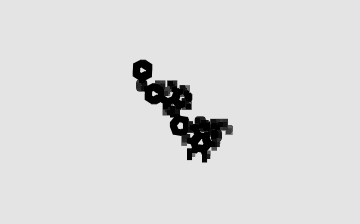 Nc1ncnc2c1c(-c1ccc(Oc3ccccc3)cc1)nn2C1CCCN(C(=O)c2c(F)c(F)c(F)c(F)c2S(N)(=O)=O)C1